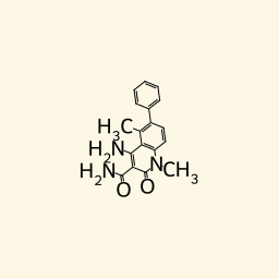 Cc1c(-c2ccccc2)ccc2c1c(N)c(C(N)=O)c(=O)n2C